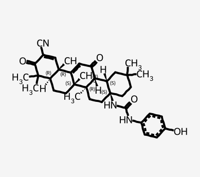 CC1(C)CC[C@]2(NC(=O)Nc3ccc(O)cc3)CC[C@]3(C)[C@H](C(=O)C=C4[C@@]5(C)C=C(C#N)C(=O)C(C)(C)[C@@H]5CC[C@]43C)[C@@H]2C1